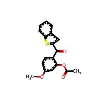 COc1ccc(C(=O)c2cc3ccccc3s2)c(OC(C)=O)c1